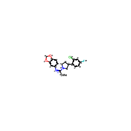 CS/C(=N/c1ccc2c(c1)OCO2)N1CCC(c2ccc(F)cc2Cl)C1